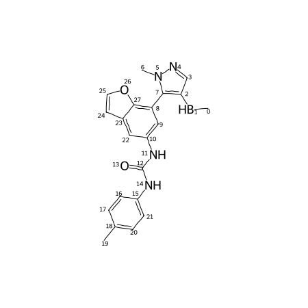 CBc1cnn(C)c1-c1cc(NC(=O)Nc2ccc(C)cc2)cc2ccoc12